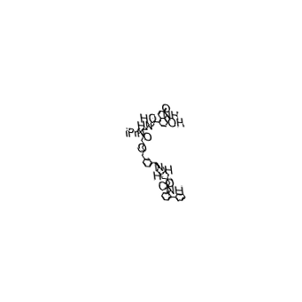 CC(C)N(CCNC[C@H](O)c1ccc(O)c2[nH]c(=O)ccc12)C(=O)CCOCCc1cccc(CN2C[C@H]3CC(OC(=O)Nc4ccccc4-c4ccccc4)C[C@H]3C2)c1